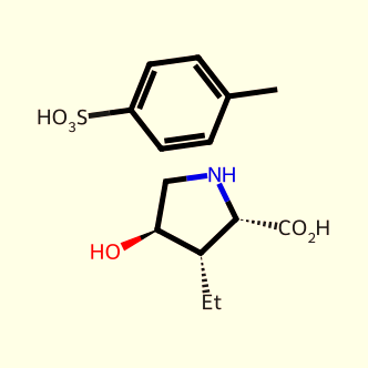 CC[C@H]1[C@@H](C(=O)O)NC[C@@H]1O.Cc1ccc(S(=O)(=O)O)cc1